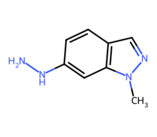 Cn1ncc2ccc(NN)cc21